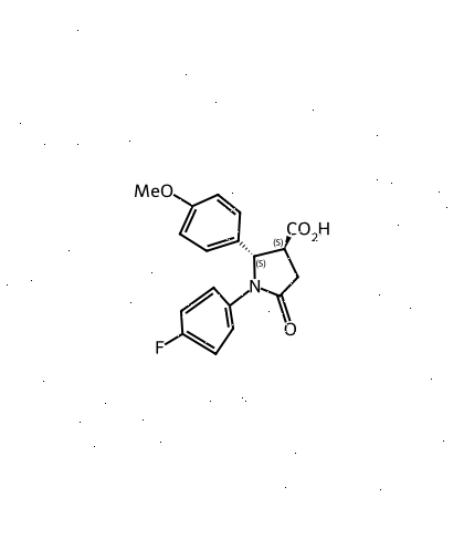 COc1ccc([C@@H]2[C@@H](C(=O)O)CC(=O)N2c2ccc(F)cc2)cc1